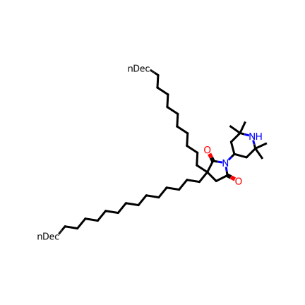 CCCCCCCCCCCCCCCCCCCCCCCCC1(CCCCCCCCCCCCCCCCCCCC)CC(=O)N(C2CC(C)(C)NC(C)(C)C2)C1=O